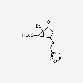 CCC12C(=O)CC(SCc3ccco3)C1C2C(=O)O